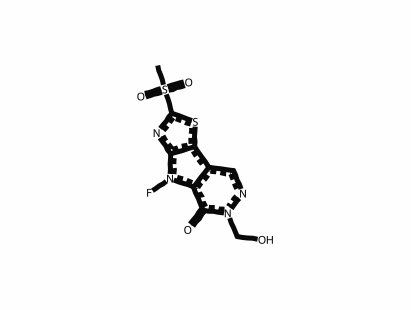 CS(=O)(=O)c1nc2c(s1)c1cnn(CO)c(=O)c1n2F